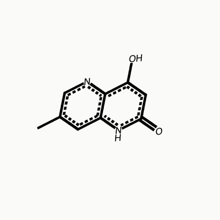 Cc1cnc2c(O)cc(=O)[nH]c2c1